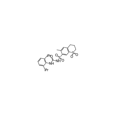 Cc1cc2c(cc1S(=O)(=O)NC(=O)Nc1c(C(C)C)cccc1C(C)C)S(=O)(=O)CCC2